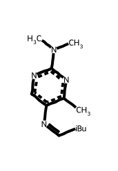 CCC(C)/C=N\c1cnc(N(C)C)nc1C